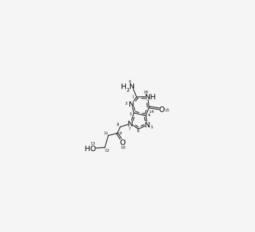 Nc1nc2c(ncn2CC(=O)CCO)c(=O)[nH]1